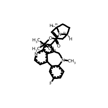 CN1Cc2c(C3=C[C@H]4CC[C@@H](C3)N4C(=O)OC(C)(C)C)[nH]c3nccc(c23)-c2cc(F)ccc21